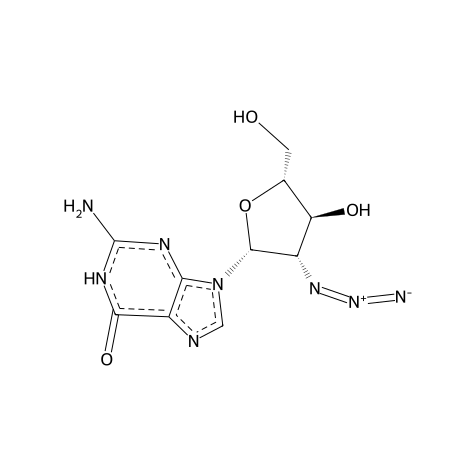 [N-]=[N+]=N[C@H]1[C@H](O)[C@@H](CO)O[C@H]1n1cnc2c(=O)[nH]c(N)nc21